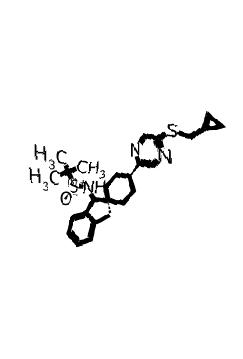 CC(C)(C)[S@@+]([O-])NC1c2ccccc2C[C@]12CC[C@H](c1cnc(SCC3CC3)cn1)CC2